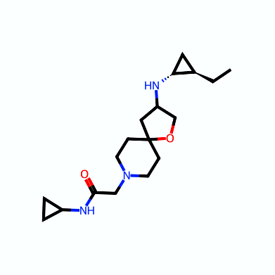 CC[C@@H]1C[C@H]1NC1COC2(CCN(CC(=O)NC3CC3)CC2)C1